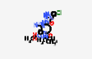 COC(=O)Nc1ccc2c(c1)N[C@@H](C(=O)NC(C)(C)C)CCCC[C@H](NC(=O)/C=C/c1cc(Cl)ccc1-n1cnnn1)c1nc-2c(C#N)[nH]1